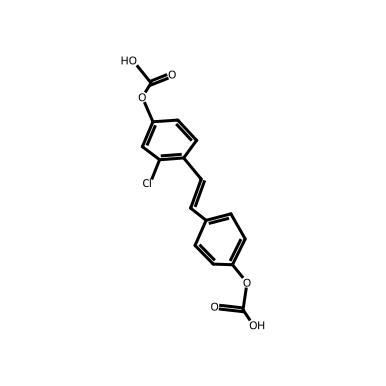 O=C(O)Oc1ccc(/C=C/c2ccc(OC(=O)O)cc2Cl)cc1